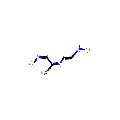 C\N=C/C(C)=N\C=C\NC